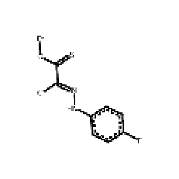 CCOC(=S)/C(Cl)=N/Nc1ccc(F)cc1